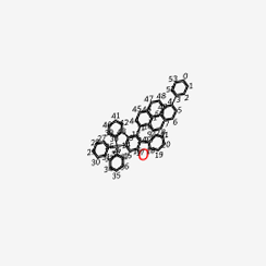 c1ccc(-c2ccc3ccc4c(-c5c6c(cc7oc8ccccc8c57)C(c5ccccc5)(c5ccccc5)c5ccccc5-6)ccc5ccc2c3c54)cc1